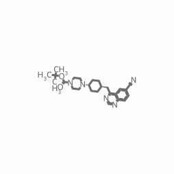 CC(C)(C)OC(=O)N1CCN([C@H]2CC[C@H](Cc3ncnc4ccc(C#N)cc34)CC2)CC1